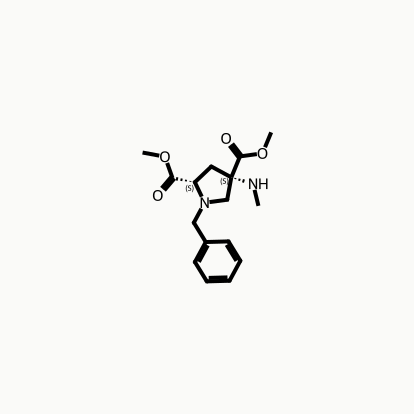 CN[C@@]1(C(=O)OC)C[C@@H](C(=O)OC)N(Cc2ccccc2)C1